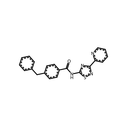 O=C(Nc1nc(-c2ccccn2)ns1)c1ccc(Cc2ccccc2)cc1